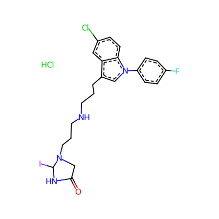 Cl.O=C1CN(CCCNCCCc2cn(-c3ccc(F)cc3)c3ccc(Cl)cc23)C(I)N1